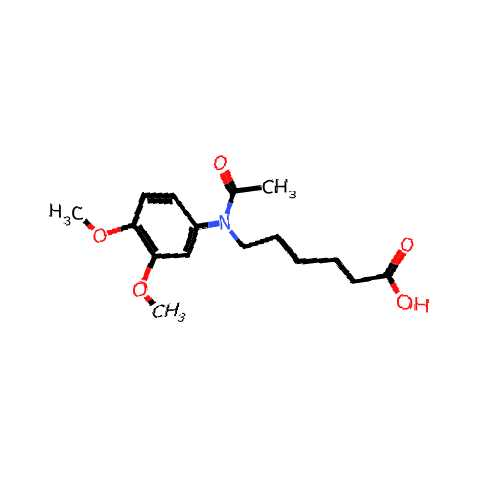 COc1ccc(N(CCCCCC(=O)O)C(C)=O)cc1OC